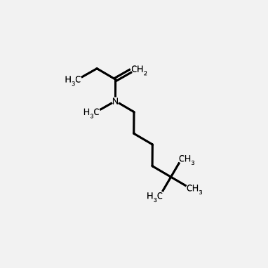 C=C(CC)N(C)CCCCC(C)(C)C